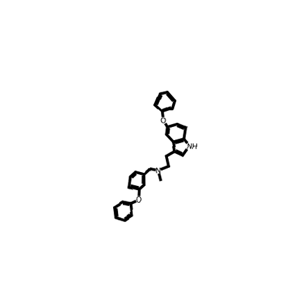 CN(CCc1c[nH]c2ccc(Oc3ccccc3)cc12)Cc1cccc(Oc2ccccc2)c1